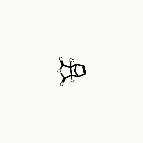 CCC12C(=O)OC(=O)C1(CC)C1C=CC2C1